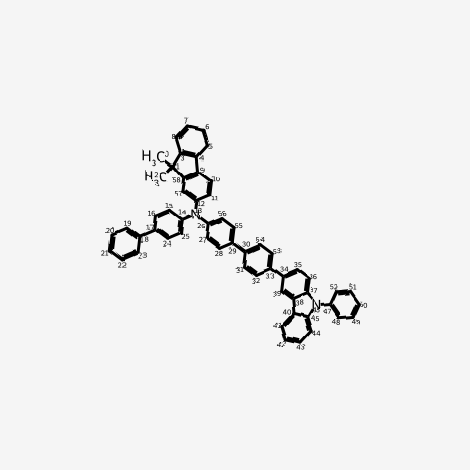 CC1(C)C2=C(CCC=C2)c2ccc(N(c3ccc(-c4ccccc4)cc3)c3ccc(-c4ccc(-c5ccc6c(c5)c5ccccc5n6-c5ccccc5)cc4)cc3)cc21